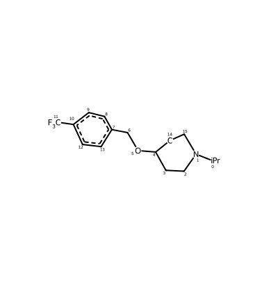 CC(C)N1CCC(OCc2ccc(C(F)(F)F)cc2)CC1